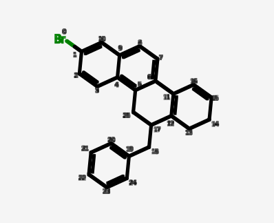 Brc1ccc2c3c(ccc2c1)C1=C(CCC=C1)C(Cc1ccccc1)C3